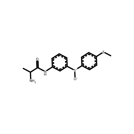 CSc1ccc([S+]([O-])c2cccc(NC(=O)C(C)N)c2)cc1